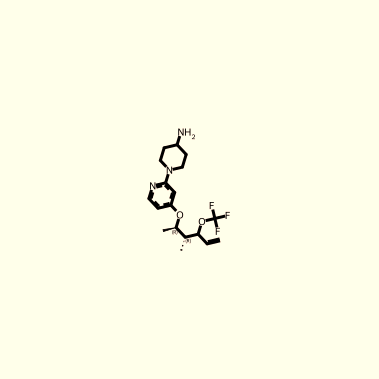 C=CC(OC(F)(F)F)[C@H](C)[C@@H](C)Oc1ccnc(N2CCC(N)CC2)c1